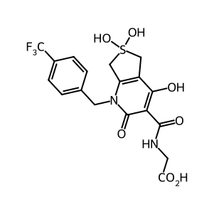 O=C(O)CNC(=O)c1c(O)c2c(n(Cc3ccc(C(F)(F)F)cc3)c1=O)CS(O)(O)C2